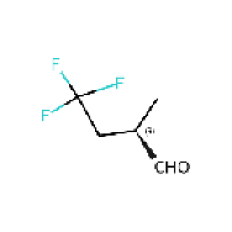 C[C@@H](C=O)CC(F)(F)F